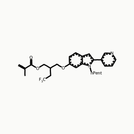 C=C(C)C(=O)OCC(COc1ccc2cc(-c3cccnc3)n(CCCCC)c2c1)CC(F)(F)F